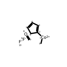 [CH3][Co+2][C]1=CC=CC1.[C]=O.[F-].[F-]